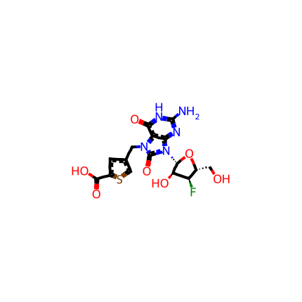 Nc1nc2c(c(=O)[nH]1)n(Cc1csc(C(=O)O)c1)c(=O)n2[C@@H]1O[C@H](CO)[C@@H](F)[C@H]1O